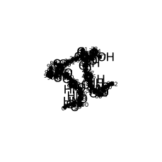 C=CCOC(=O)N[C@H](C(=O)N[C@@H](C)C(=O)Nc1ccc(COC(=O)Nc2cc(OCCCCCOc3cc(NC(=O)OCc4ccc(NC(=O)[C@H](C)NC(=O)[C@@H](NC(=O)OCC=C)C(C)C)cc4)c(C(=O)N4CCC[C@H]4CO)cc3OC)c(OC)cc2C(=O)N2CCC[C@H]2CC)cc1)C(C)C